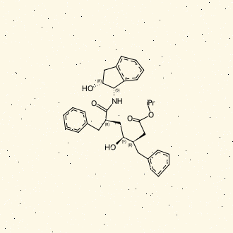 CC(C)OC(=O)C[C@@H](Cc1ccccc1)[C@@H](O)C[C@@H](Cc1ccccc1)C(=O)N[C@H]1c2ccccc2C[C@H]1O